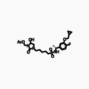 CC(=O)OCN1C(=O)N(CCCCCS(=O)(=O)N[C@H](C)c2ccc(F)c(OCC3CC3)c2)CC1O